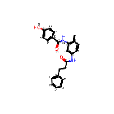 Cc1ccc(NC(=O)CCc2ccccc2)cc1NC(=O)c1ccc(O)cc1